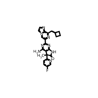 CC1(c2ccc(F)cn2)C(=O)Nc2nc(-c3cn4ccnc4c(CC4CCC4)n3)nc(N)c21